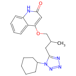 CC(COc1cc(=O)[nH]c2ccccc12)Cc1nnnn1C1CCCCC1